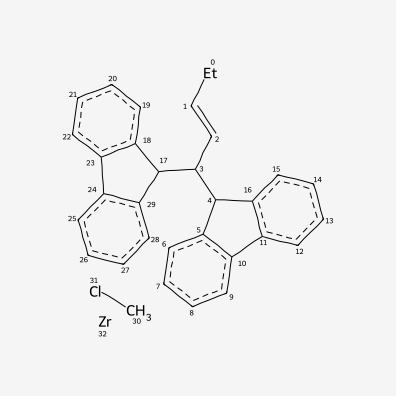 CCC=CC(C1c2ccccc2-c2ccccc21)C1c2ccccc2-c2ccccc21.CCl.[Zr]